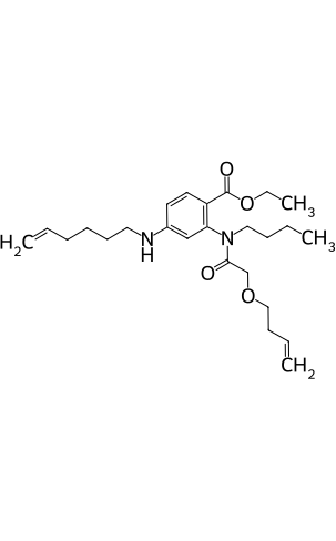 C=CCCCCNc1ccc(C(=O)OCC)c(N(CCCC)C(=O)COCCC=C)c1